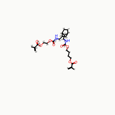 C=C(C)C(=O)OCCCCOC(=O)NCC1C2CCC1C(CNC(=O)OCCOC(=O)C(=C)C)C2